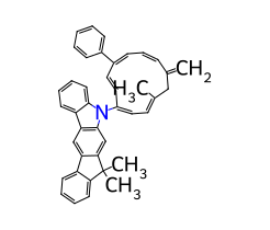 C=C1\C=C/C=C(c2ccccc2)\C=C\C(n2c3ccccc3c3cc4c(cc32)C(C)(C)c2ccccc2-4)=C/C=C(\C)C1